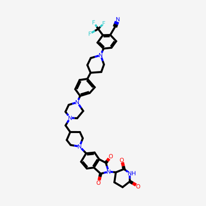 N#Cc1ccc(N2CCC(c3ccc(N4CCN(CC5CCN(c6ccc7c(c6)C(=O)N(C6CCC(=O)NC6=O)C7=O)CC5)CC4)cc3)CC2)cc1C(F)(F)F